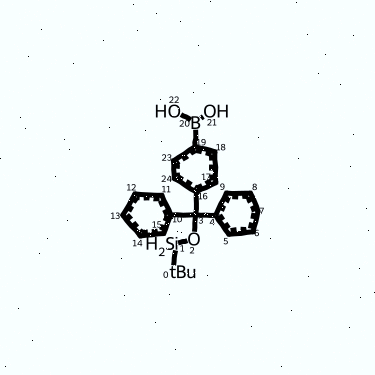 CC(C)(C)[SiH2]OC(c1ccccc1)(c1ccccc1)c1ccc(B(O)O)cc1